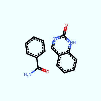 NC(=O)c1ccccc1.O=c1ncc2ccccc2[nH]1